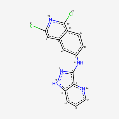 Clc1cc2cc(Nc3n[nH]c4cccnc34)ccc2c(Cl)n1